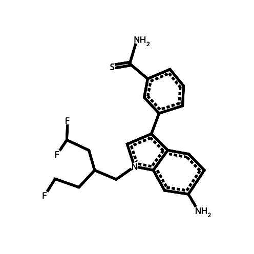 NC(=S)c1cccc(-c2cn(CC(CCF)CC(F)F)c3cc(N)ccc23)c1